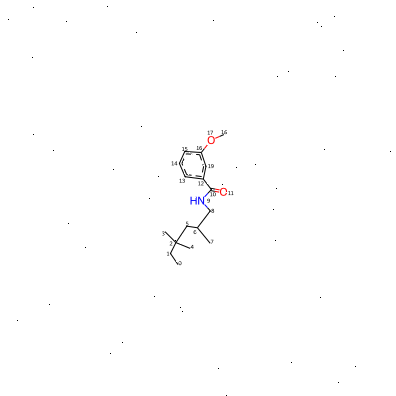 CCC(C)(C)CC(C)CNC(=O)c1cccc(OC)c1